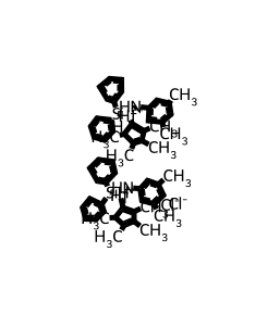 CC1=C(C)C(C)[C]([Hf+]([NH]c2cc(C)cc(C)c2)[SiH](c2ccccc2)c2ccccc2)=C1C.CC1=C(C)C(C)[C]([Hf+]([NH]c2cc(C)cc(C)c2)[SiH](c2ccccc2)c2ccccc2)=C1C.[Cl-].[Cl-]